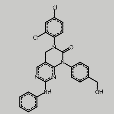 O=C1N(c2ccc(Cl)cc2Cl)Cc2cnc(Nc3ccccc3)nc2N1c1ccc(CO)cc1